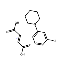 Clc1cccc(N2CCCCC2)c1.O=C(O)/C=C/C(=O)O